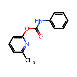 Cc1cccc(OC(=O)Nc2ccccc2)n1